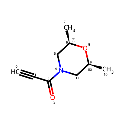 C#CC(=O)N1C[C@@H](C)O[C@@H](C)C1